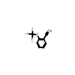 C#Cc1ccc[c]c1OC(F)(F)F